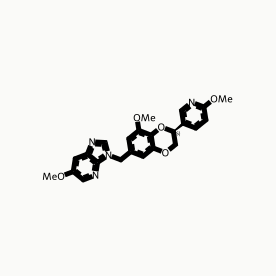 COc1cnc2c(c1)ncn2Cc1cc(OC)c2c(c1)OC[C@H](c1ccc(OC)nc1)O2